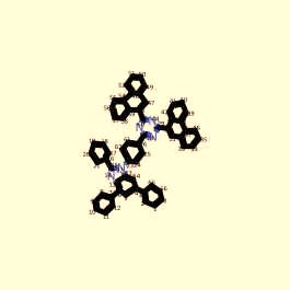 c1ccc(-c2cc(-c3ccccc3)c3nc(-c4ccccc4)n(-c4ccc(-c5nc(-c6cc7ccccc7c7ccccc67)nc(-c6cc7ccccc7c7ccccc67)n5)cc4)c3c2)cc1